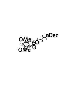 [CH2]CCCCCCCCCCCCCOOC(=O)c1c(OC)cccc1OC